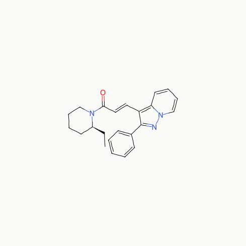 CC[C@H]1CCCCN1C(=O)C=Cc1c(-c2ccccc2)nn2ccccc12